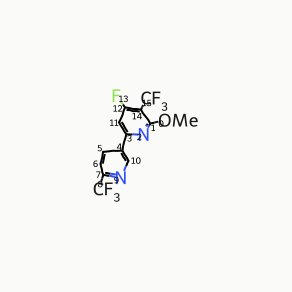 COc1nc(-c2ccc(C(F)(F)F)nc2)cc(F)c1C(F)(F)F